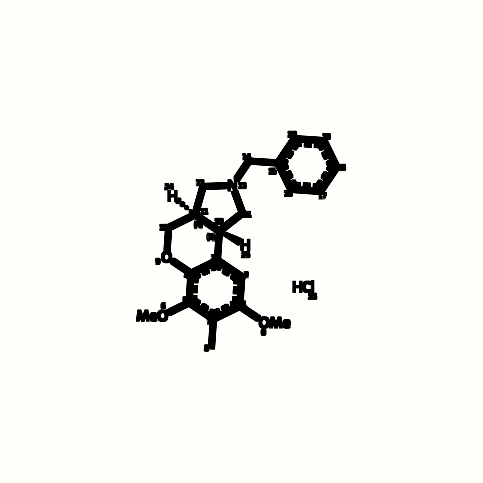 COc1cc2c(c(OC)c1C)OC[C@H]1CN(Cc3ccccc3)C[C@H]21.Cl